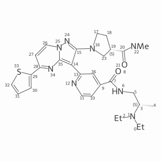 CCN(CC)[C@@H](C)CNC(=O)c1ccnc(-c2c(N3CC[C@H](C(=O)NC)C3)nn3ccc(-c4cccs4)nc23)c1